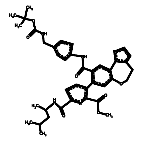 COC(=O)c1nc(C(=O)NC(C)CC(C)C)ccc1-c1cc2c(cc1C(=O)Nc1ccc(CNC(=O)OC(C)(C)C)cc1)-c1sccc1CCO2